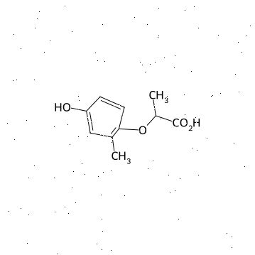 Cc1cc(O)ccc1OC(C)C(=O)O